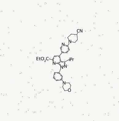 CCOC(=O)c1cc(-c2ccc(N3CCC(C#N)CC3)nc2)c2c(C(C)C)nn(-c3cccc(N4CCOCC4)c3)c2n1